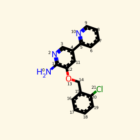 Nc1ncc(-c2ccccn2)cc1OCc1ccccc1Cl